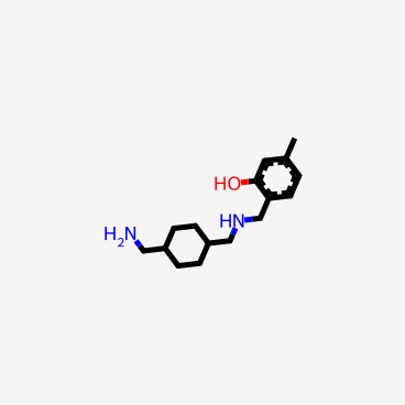 Cc1ccc(CNCC2CCC(CN)CC2)c(O)c1